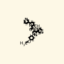 CCOC1CCC(n2cc(NC(=O)c3nc(-c4cccnc4)ccc3C)c(-c3cnccn3)n2)CC1